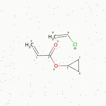 C=CC(=O)OC1CC1.C=CCl